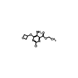 CCOC(=O)c1nc(Cl)nc(OC2COC2)c1N